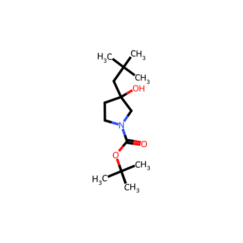 CC(C)(C)CC1(O)CCN(C(=O)OC(C)(C)C)C1